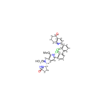 COc1nc(-c2cccc(-c3cccc(-c4ccc5c(n4)CCCC5=O)c3Cl)c2Cl)ccc1CN(C[C@@H]1CCC(=O)N1)C(=O)O